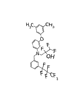 Cc1cc(C)cc(Oc2cccc(N(Cc3cccc(C(F)(F)C(F)(F)C(F)(F)F)c3)CC(O)(F)C(F)F)c2)c1